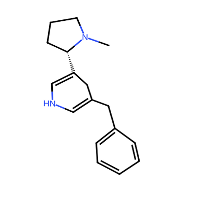 CN1CCC[C@H]1C1=CNC=C(Cc2ccccc2)C1